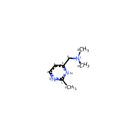 Cc1nccc(CN(C)C)n1